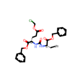 CC(C)C[C@H](NC(=O)N[C@@H](CCC(=O)OCCl)C(=O)OCc1ccccc1)C(=O)OCc1ccccc1